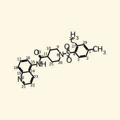 Cc1ccc(S(=O)(=O)N2CCC(C(=O)Nc3cccc4ncccc34)CC2)c(C)c1